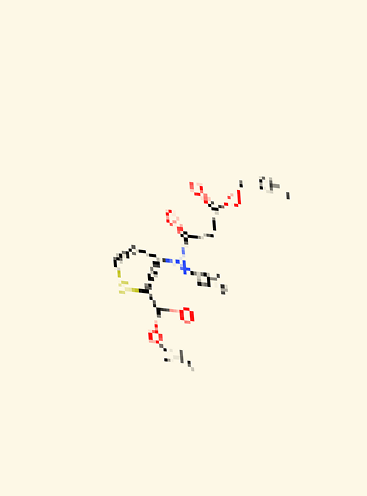 CCOC(=O)CC(=O)N(C)c1ccsc1C(=O)OC